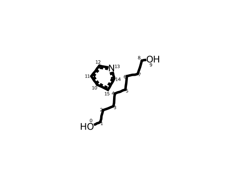 OCCCCCCCCO.c1ccncc1